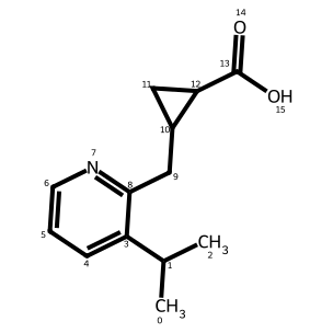 CC(C)c1cccnc1CC1CC1C(=O)O